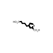 O=C(O)CCCCc1ccnc(C(=O)O)c1